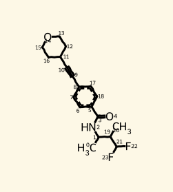 CC(NC(=O)c1ccc(C#CC2CCOCC2)cc1)C(C)C(F)F